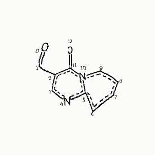 O=Cc1cnc2ccccn2c1=O